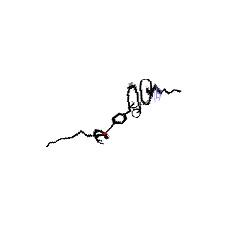 CCCC/C=C/COC1COC(c2ccc(C34CCC(CCCCCCC)(CC3)CC4)cc2)CO1